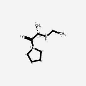 CCN[C@@H](C)C(=O)N1CCCC1